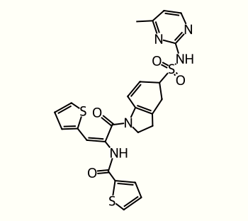 Cc1ccnc(NS(=O)(=O)C2C=CC3=C(CCN3C(=O)/C(=C\c3cccs3)NC(=O)c3cccs3)C2)n1